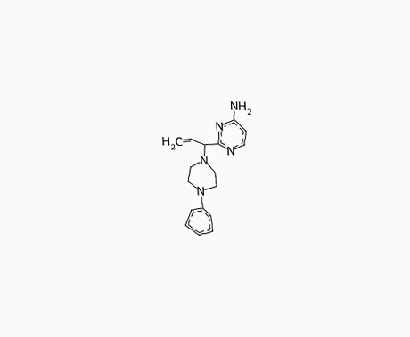 C=CC(c1nccc(N)n1)N1CCN(c2ccccc2)CC1